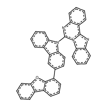 c1ccc2c(c1)nc(-n1c3ccccc3c3cc(-c4cccc5c4oc4ccccc45)ccc31)n1c3ccccc3nc21